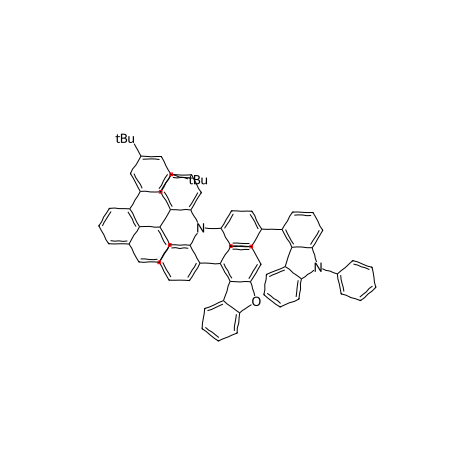 CC(C)(C)c1cc(-c2cccc3cccc(-c4ccccc4N(c4ccc(-c5cccc6c5c5ccccc5n6-c5ccccc5)cc4)c4ccccc4-c4cccc5oc6ccccc6c45)c23)cc(C(C)(C)C)c1